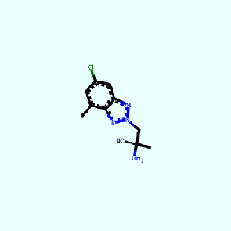 Cc1cc(Cl)cc2nn(CC(C)(N)C#N)nc12